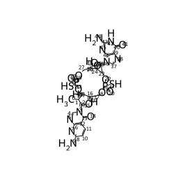 CC1[C@H](n2cnc3nc(N)ccc3c2=O)O[C@@H]2COP(=O)(S)OC3C(=O)[C@@H](COP(=O)(S)O[C@@H]12)O[C@H]3n1cnc2c(=O)[nH]c(N)nc21